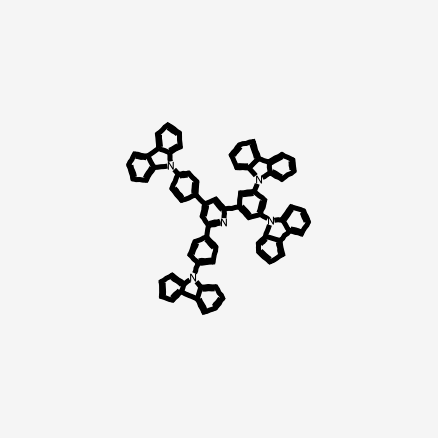 c1ccc2c(c1)c1ccccc1n2-c1ccc(-c2cc(-c3ccc(-n4c5ccccc5c5ccccc54)cc3)nc(-c3cc(-n4c5ccccc5c5ccccc54)cc(-n4c5ccccc5c5ccccc54)c3)c2)cc1